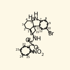 C=C1CCC[C@@H]2Nc3ccc(Br)cc3[C@]12CCNS(=O)(=O)c1ccccc1[N+](=O)[O-]